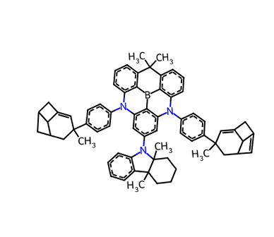 CC1(c2ccc(N3c4cc(N5c6ccccc6C6(C)CCCCC56C)cc5c4B4c6c3cccc6C(C)(C)c3cccc(c34)N5c3ccc(C4(C)C=C5CC6CC(C4)C56)cc3)cc2)C=C2CC3=CC(C1)C32